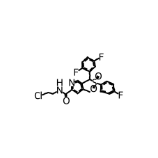 Cc1cc(C(=O)NCCCl)ncc1C(c1cc(F)ccc1F)S(=O)(=O)c1ccc(F)cc1